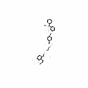 CN(CCCCNC[C@H](O)c1ccc(O)c2[nH]c(=O)ccc12)C(=O)c1ccc(COc2cccc([C@@H](NC(=O)O)c3ccccc3)c2)cc1